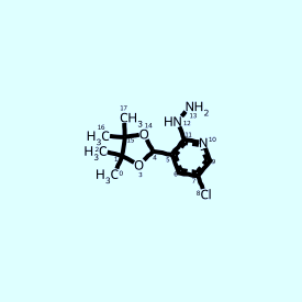 CC1(C)OC(c2cc(Cl)cnc2NN)OC1(C)C